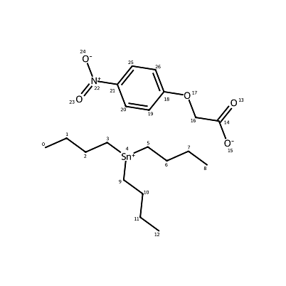 CCC[CH2][Sn+]([CH2]CCC)[CH2]CCC.O=C([O-])COc1ccc([N+](=O)[O-])cc1